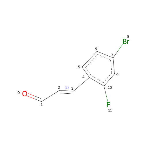 O=C/C=C/c1ccc(Br)cc1F